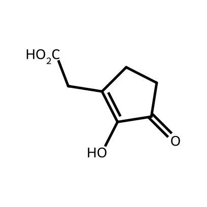 O=C(O)CC1=C(O)C(=O)CC1